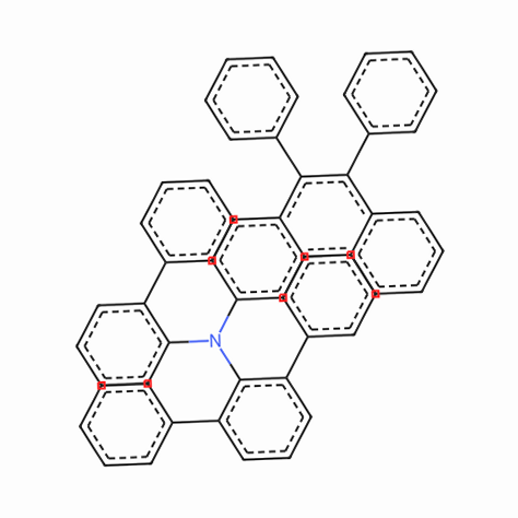 c1ccc(-c2ccccc2N(c2ccc3c(-c4ccccc4)c(-c4ccccc4)c4ccccc4c3c2)c2c(-c3ccccc3)cccc2-c2ccccc2)cc1